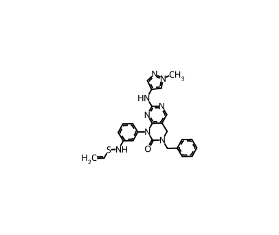 C=CSNc1cccc(N2C(=O)N(Cc3ccccc3)Cc3cnc(Nc4cnn(C)c4)nc32)c1